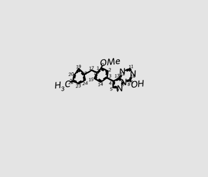 COc1cc(-c2cnn3c(O)ncnc23)ccc1Cc1ccc(C)cc1